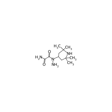 CC1(C)CC(N(N)C(=O)C(N)=O)CC(C)(C)N1